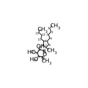 CCCCCCCC(C)(CCCCCC)[C@@H]1O[C@@H](C)C(O)C(O)C1O